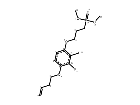 C=CCCOc1ccc(OCCCP(=O)(OC)OC)c(F)c1F